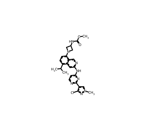 COC(=O)NC1CN(c2ccc(C(C)C)c3cc(Nc4ccnc(-c5cn(C)nc5Cl)n4)ncc23)C1